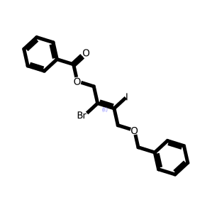 O=C(OC/C(Br)=C(\I)COCc1ccccc1)c1ccccc1